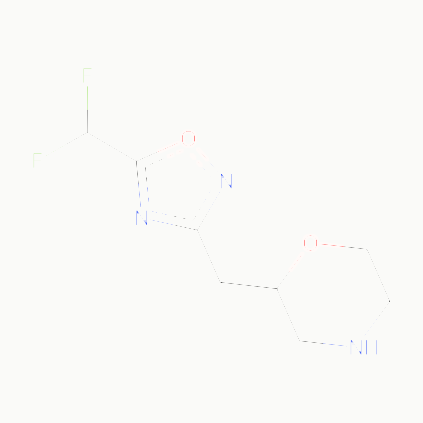 FC(F)c1nc(CC2CNCCO2)no1